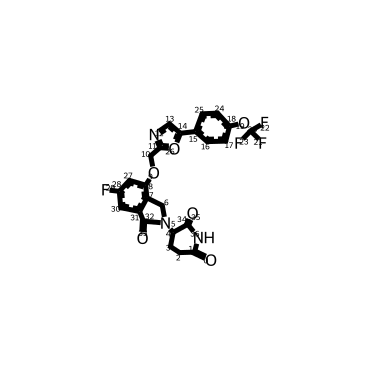 O=C1CCC(N2Cc3c(OCc4ncc(-c5ccc(OC(F)(F)F)cc5)o4)cc(F)cc3C2=O)C(=O)N1